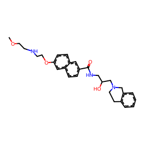 COCCNCCOc1ccc2cc(C(=O)NCC(O)CN3CCc4ccccc4C3)ccc2c1